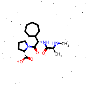 CN[C@@H](C)C(=O)N[C@H](C(=O)N1CCC[C@H]1C(=O)O)C1CCCCCC1